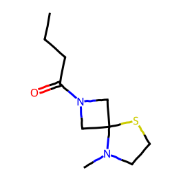 CCCC(=O)N1CC2(C1)SCCN2C